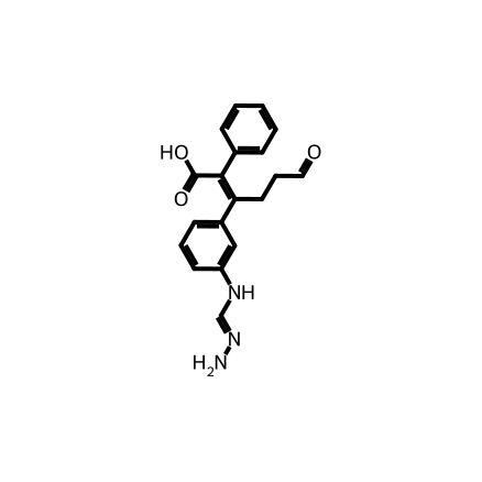 NN=CNc1cccc(C(CCC=O)=C(C(=O)O)c2ccccc2)c1